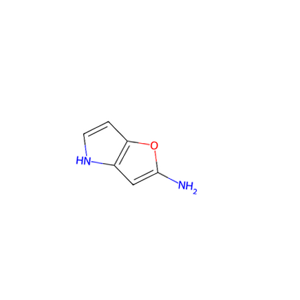 Nc1cc2[nH]ccc2o1